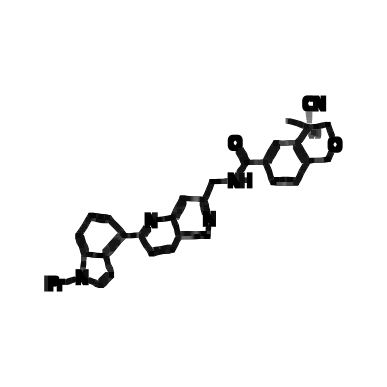 CC(C)n1ccc2c(-c3ccc4cnc(CNC(=O)c5ccc6c(c5)[C@](C)(C#N)COC6)cc4n3)cccc21